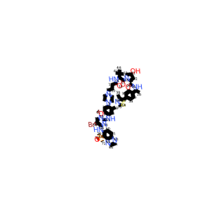 COc1cc(N2CCN(CCCC(=O)NC(C(=O)N3C[C@H](O)C[C@H]3C(=O)NC(C)c3ccc(-c4scnc4C)cc3)C(C)(C)C)CC2)c(C)cc1Nc1ncc(Br)c(Nc2ccc3nccnc3c2P(C)(C)=O)n1